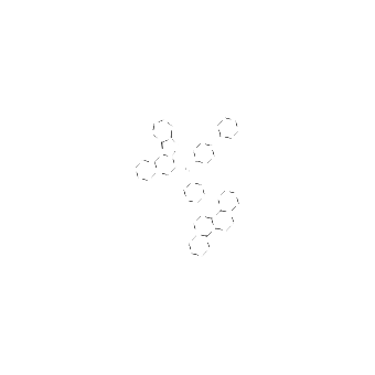 c1ccc(-c2ccc(N(c3ccc(-c4cc5ccccc5c5ccc6ccccc6c45)cc3)c3cc4ccccc4c4c3sc3ccccc34)cc2)cc1